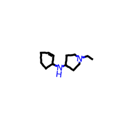 CCN1CCC(NC2C=CCCC2)CC1